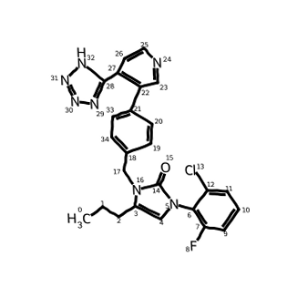 CCCc1cn(-c2c(F)cccc2Cl)c(=O)n1Cc1ccc(-c2cnccc2-c2nnn[nH]2)cc1